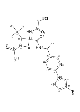 CC(NC(=O)C1(NC(=O)CCl)CN(C(=O)O)C1C(C)(C)C)c1ccc(-n2cc(F)cn2)nc1